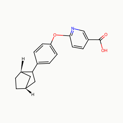 O=C(O)c1ccc(Oc2ccc(C3C[C@@H]4CC[C@H]3C4)cc2)nc1